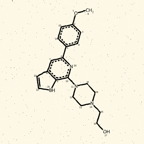 COc1ccc(-c2cc3c(c(N4CCN(CCO)CC4)n2)BC=C3)cc1